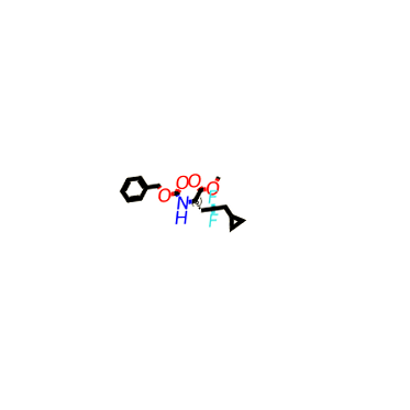 COC(=O)[C@H](CC(F)(F)CC1CC1)NC(=O)OCc1ccccc1